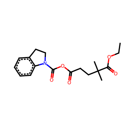 CCOC(=O)C(C)(C)CCC(=O)OC(=O)N1CCc2ccccc21